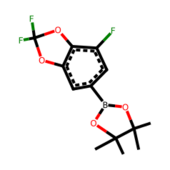 CC1(C)OB(c2cc(F)c3c(c2)OC(F)(F)O3)OC1(C)C